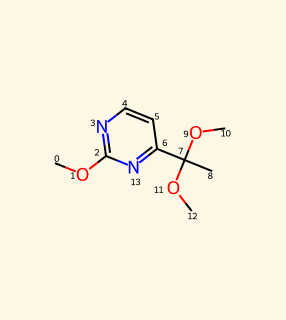 COc1nccc(C(C)(OC)OC)n1